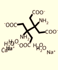 NC(CC(=O)[O-])(CC(=O)[O-])C(N)(CC(=O)[O-])CC(=O)[O-].O.O.O.O.[Cu+2].[Na+].[Na+]